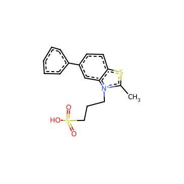 Cc1sc2ccc(-c3ccccc3)cc2[n+]1CCCS(=O)(=O)O